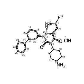 Cl.NC1CCC(n2c(=O)c3cc(F)cnc3n(-c3cccc(-c4ccccc4)c3)c2=O)CC1